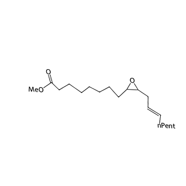 CCCCCC=CCC1OC1CCCCCCCC(=O)OC